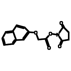 O=C(COc1ccc2ccccc2c1)ON1C(=O)CCC1=O